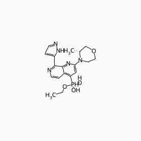 CCO[PH](O)(O)c1cc(N2CCOC[C@H]2C)nc2c(-c3ccn[nH]3)nccc12